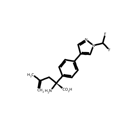 C=C(C)C[C@](N)(C(=O)O)c1ccc(-c2cnn(C(F)F)c2)cc1